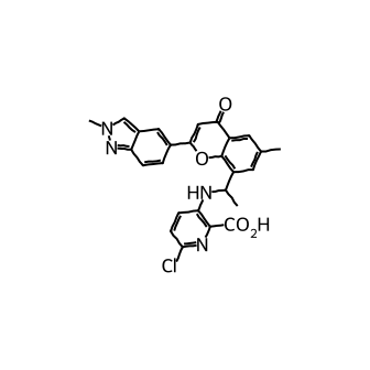 Cc1cc(C(C)Nc2ccc(Cl)nc2C(=O)O)c2oc(-c3ccc4nn(C)cc4c3)cc(=O)c2c1